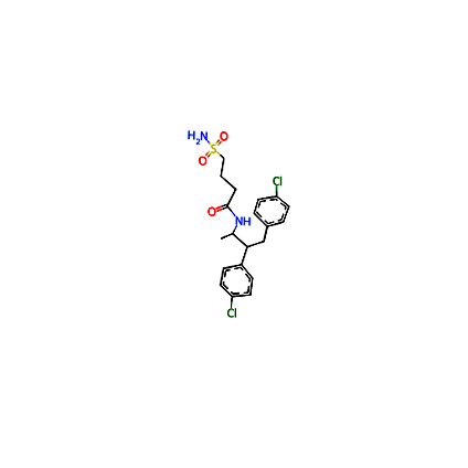 CC(NC(=O)CCCS(N)(=O)=O)C(Cc1ccc(Cl)cc1)c1ccc(Cl)cc1